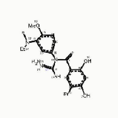 C=C(c1cc(C(C)C)c(O)cc1O)N(/C(S)=N\N)c1ccc(OC)c(N(C)CC)c1